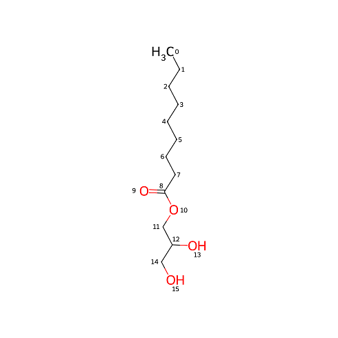 CCCCCCCCC(=O)OCC(O)CO